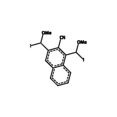 COC(I)c1cc2ccccc2c(C(I)OC)c1C#N